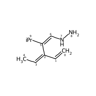 C=CC(=C/C)/C(=C\NN)C(C)C